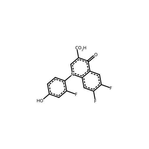 O=C(O)c1cn(-c2ccc(O)cc2F)c2cc(F)c(F)cc2c1=O